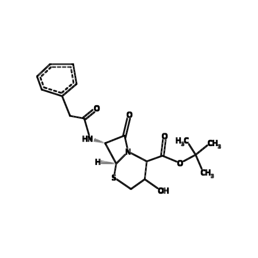 CC(C)(C)OC(=O)C1C(O)CS[C@H]2[C@H](NC(=O)Cc3ccccc3)C(=O)N12